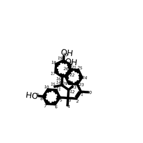 C/C(=C/C(C)(c1ccc(O)cc1)C(C)C(C)c1ccc(O)cc1)c1ccc(O)cc1